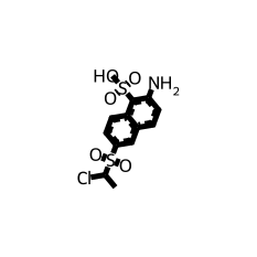 CC(Cl)S(=O)(=O)c1ccc2c(S(=O)(=O)O)c(N)ccc2c1